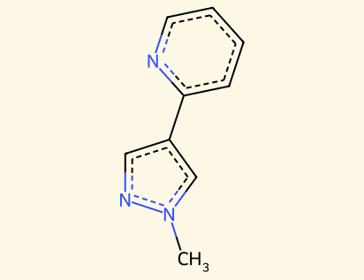 Cn1cc(-c2ccccn2)cn1